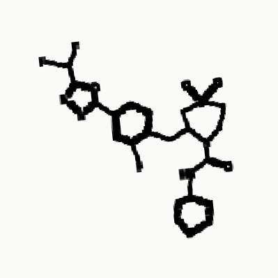 O=C(Nc1ccccc1)N1CCS(=O)(=O)CC1Cc1ccc(-c2nnc(C(F)F)o2)cc1F